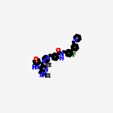 CCc1nc2c(cnn2CC)c(NC2CCOCC2)c1CN1CCN(Cc2cccc(C(=O)NCc3ccc(F)c(-c4cccc(CN5CCCCC5)c4)c3)c2)CC1